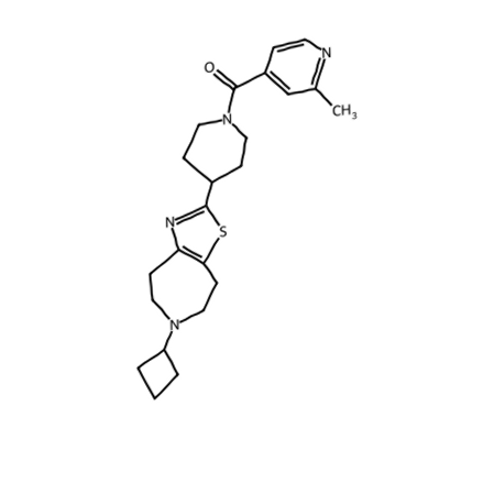 Cc1cc(C(=O)N2CCC(c3nc4c(s3)CCN(C3CCC3)CC4)CC2)ccn1